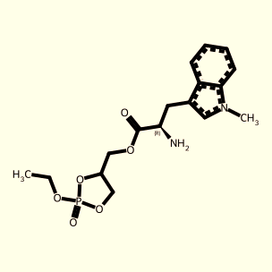 CCOP1(=O)OCC(COC(=O)[C@H](N)Cc2cn(C)c3ccccc23)O1